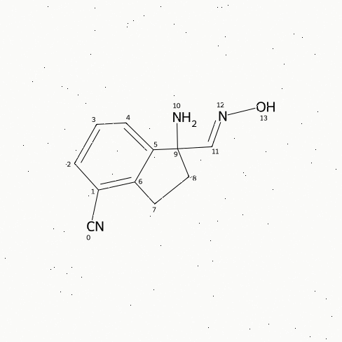 N#Cc1cccc2c1CCC2(N)C=NO